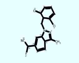 CC1=NN(CC2C(Cl)=CC=CC2Cl)C2C=C(C(F)C#N)C=CC12